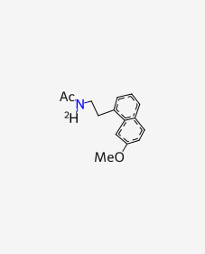 [2H]N(CCc1cccc2ccc(OC)cc12)C(C)=O